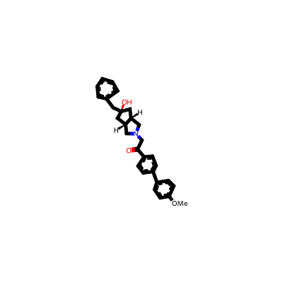 COc1ccc(-c2ccc(C(=O)CN3C[C@@H]4C[C@](O)(Cc5ccccc5)C[C@@H]4C3)cc2)cc1